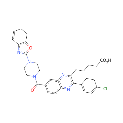 O=C(O)CCCCc1nc2cc(C(=O)N3CCN(c4nc5c(o4)CCC=C5)CC3)ccc2nc1C1=CC=C(Cl)CC1